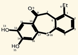 CCc1cccc2c1CC(=O)c1cc(O)c(O)cc1S2